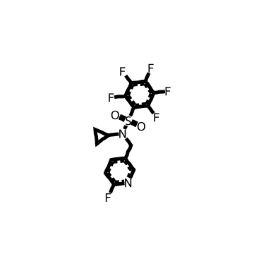 O=S(=O)(c1c(F)c(F)c(F)c(F)c1F)N(Cc1ccc(F)nc1)C1CC1